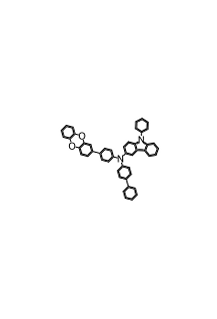 c1ccc(-c2ccc(N(c3ccc(-c4ccc5c(c4)Oc4ccccc4O5)cc3)c3ccc4c(c3)c3ccccc3n4-c3ccccc3)cc2)cc1